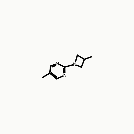 Cc1cnc(N2CC(C)C2)nc1